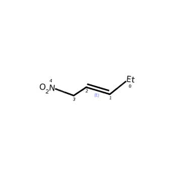 CC/C=C/C[N+](=O)[O-]